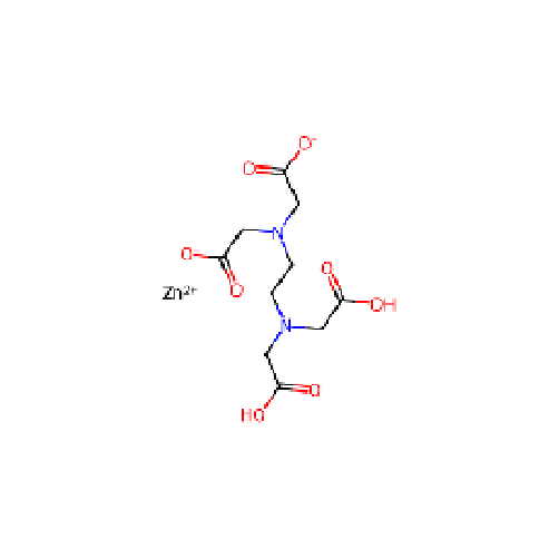 O=C([O-])CN(CCN(CC(=O)O)CC(=O)O)CC(=O)[O-].[Zn+2]